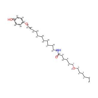 CCCCCCOCCCCCC(=O)NCCCCCCCCCCCOc1ccc(O)cc1